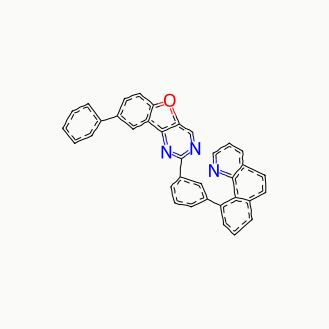 c1ccc(-c2ccc3oc4cnc(-c5cccc(-c6cccc7ccc8cccnc8c67)c5)nc4c3c2)cc1